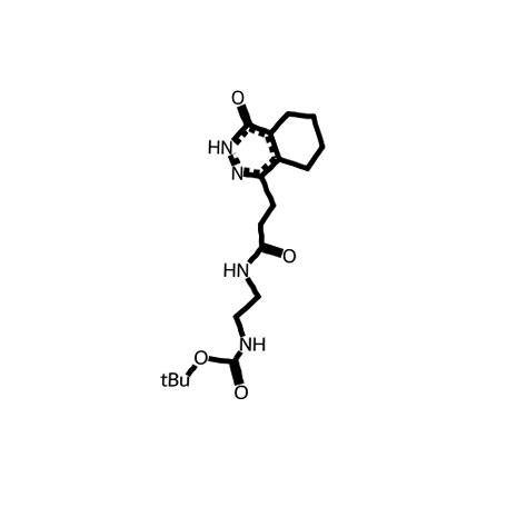 CC(C)(C)OC(=O)NCCNC(=O)CCc1n[nH]c(=O)c2c1CCCC2